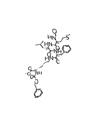 COC(=O)[C@H](CCCCNC(=O)[C@H](Cc1ccccc1)NC(=O)[C@H](CC(C)C)NC(=O)[C@H](CCSC)NC=O)NC(=O)OCc1ccccc1